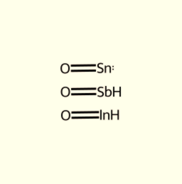 [O]=[InH].[O]=[SbH].[O]=[Sn]